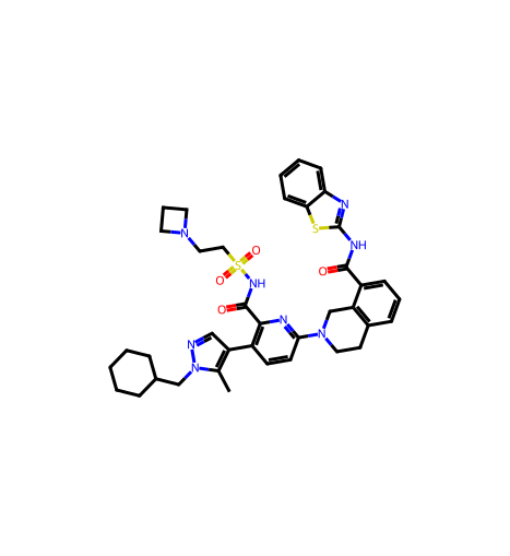 Cc1c(-c2ccc(N3CCc4cccc(C(=O)Nc5nc6ccccc6s5)c4C3)nc2C(=O)NS(=O)(=O)CCN2CCC2)cnn1CC1CCCCC1